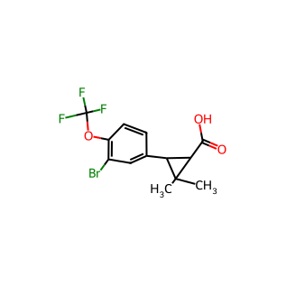 CC1(C)C(C(=O)O)C1c1ccc(OC(F)(F)F)c(Br)c1